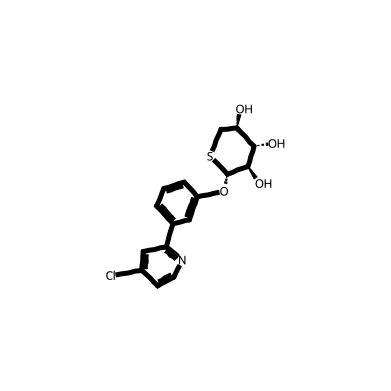 O[C@@H]1[C@@H](O)[C@H](Oc2cccc(-c3cc(Cl)ccn3)c2)SC[C@H]1O